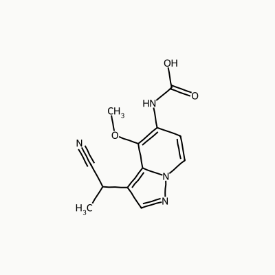 COc1c(NC(=O)O)ccn2ncc(C(C)C#N)c12